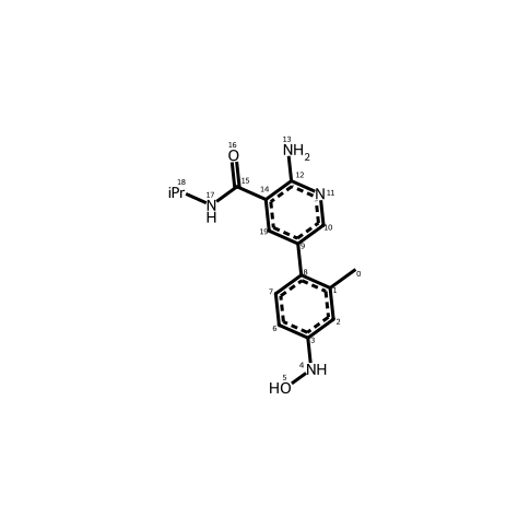 Cc1cc(NO)ccc1-c1cnc(N)c(C(=O)NC(C)C)c1